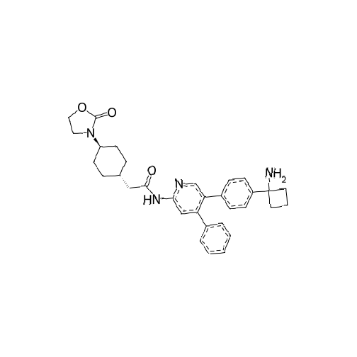 NC1(c2ccc(-c3cnc(NC(=O)C[C@H]4CC[C@H](N5CCOC5=O)CC4)cc3-c3ccccc3)cc2)CCC1